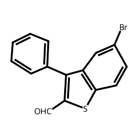 O=Cc1sc2ccc(Br)cc2c1-c1ccccc1